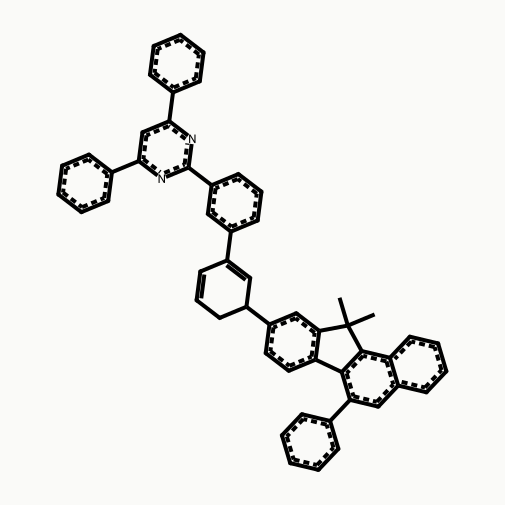 CC1(C)c2cc(C3C=C(c4cccc(-c5nc(-c6ccccc6)cc(-c6ccccc6)n5)c4)C=CC3)ccc2-c2c(-c3ccccc3)cc3ccccc3c21